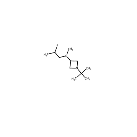 CC(F)CN(C)C1CN(C(C)(C)C)C1